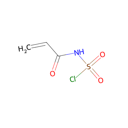 C=CC(=O)NS(=O)(=O)Cl